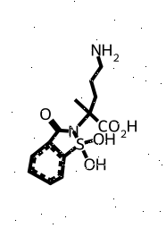 CC(CCCN)(C(=O)O)N1C(=O)c2ccccc2S1(O)O